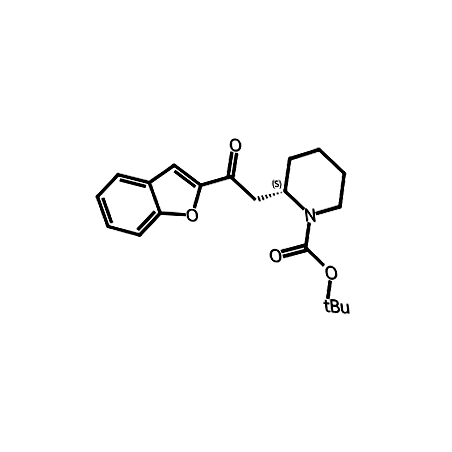 CC(C)(C)OC(=O)N1CCCC[C@H]1CC(=O)c1cc2ccccc2o1